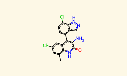 Cc1cc(Cl)cc2c(-c3ccc(Cl)c4[nH]ncc34)c(N)c(=O)[nH]c12